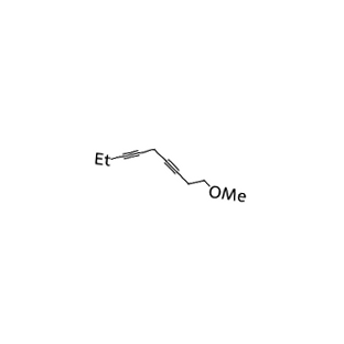 CCC#CCC#CCCOC